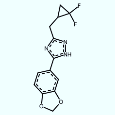 FC1(F)CC1Cc1n[nH]c(-c2ccc3c(c2)OCO3)n1